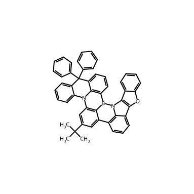 CC(C)(C)c1cc2c3c(c1)N1c4ccccc4C(c4ccccc4)(c4ccccc4)c4cccc(c41)B3n1c3c-2cccc3c2oc3ccccc3c21